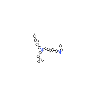 Cc1ccc(-c2ccc3c(c2)C(C)(C)c2cc(-c4ccc(N(c5ccc(-c6cccc(-c7cc8c(c9ccccc79)CC8)c6)cc5)c5ccc(-c6ccc7c(c6)C(C)(C)c6cc(-c8ccc(N(C)c9cccc(-c%10ccccc%10)c9)cc8C)ccc6-7)c(C)c5)cc4)ccc2-3)cc1